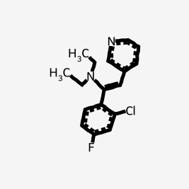 CCN(CC)C(=Cc1cccnc1)c1ccc(F)cc1Cl